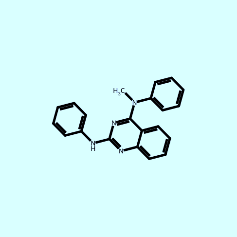 CN(c1ccccc1)c1nc(Nc2ccccc2)nc2ccccc12